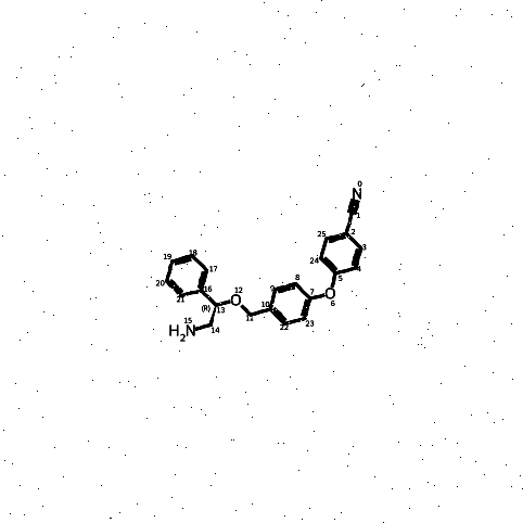 N#Cc1ccc(Oc2ccc(CO[C@@H](CN)c3ccccc3)cc2)cc1